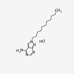 CCCCCCCCCCCn1cc2c(N)ncnc2n1.Cl